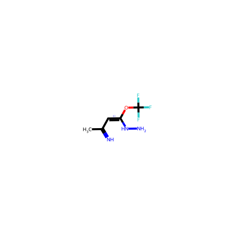 CC(=N)/C=C(\NN)OC(F)(F)F